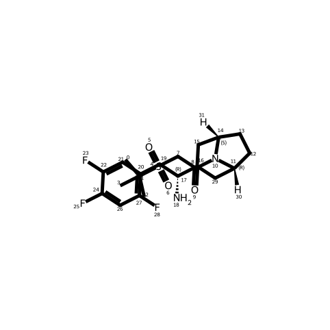 CC(C)(C)S(=O)(=O)CC(=O)N1[C@@H]2CC[C@H]1CC([C@H](N)Cc1cc(F)c(F)cc1F)C2